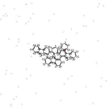 c1ccc(-c2cccc(-n3c4c(-c5cccc6c5sc5ccccc56)cccc4c4cccc(-c5cccc6c5sc5ccccc56)c43)c2)cc1